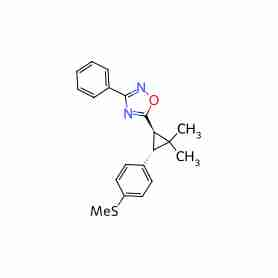 CSc1ccc([C@@H]2[C@@H](c3nc(-c4ccccc4)no3)C2(C)C)cc1